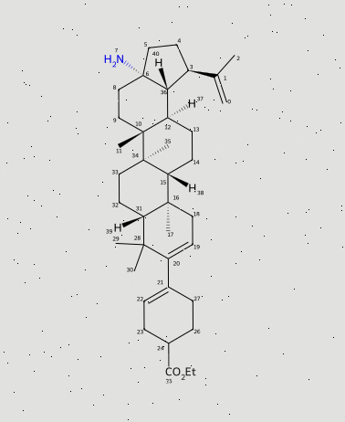 C=C(C)[C@@H]1CC[C@]2(N)CC[C@]3(C)[C@H](CC[C@@H]4[C@@]5(C)CC=C(C6=CCC(C(=O)OCC)CC6)C(C)(C)[C@@H]5CC[C@]43C)[C@@H]12